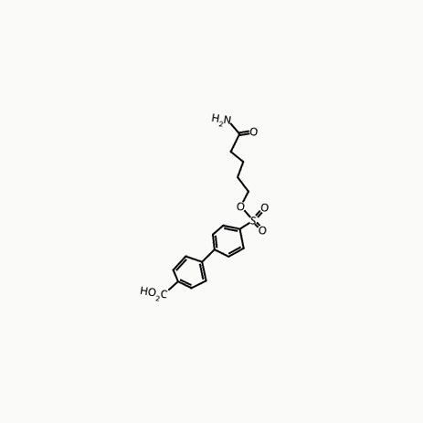 NC(=O)CCCCOS(=O)(=O)c1ccc(-c2ccc(C(=O)O)cc2)cc1